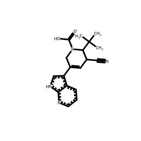 CC(C)(C)C1C(C#N)C=C(c2c[nH]c3ncccc23)CN1C(=O)O